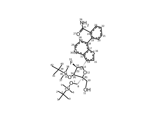 CC(C)(C)[Si](C)(C)OC[C@@]1(CO)O[C@@H](c2csc3c(-c4ccccc4C(N)=O)ncnc23)[C@H](F)[C@@H]1O[Si](C)(C)C(C)(C)C